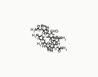 CC[C@H](C)[C@H](NC(=O)[C@@H](N)Cc1ccc(N)cc1)C(=O)N[C@@H](CCC(N)=O)C(=O)N[C@@H](CC(N)=O)C(=O)N[C@@H](CCC=O)C(=O)N(C)CC(=O)N[C@@H](CC(C)C)C(=O)NCC(N)=O